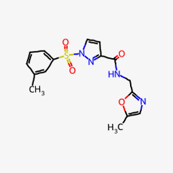 Cc1cccc(S(=O)(=O)n2ccc(C(=O)NCc3ncc(C)o3)n2)c1